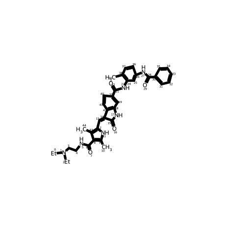 CCN(CC)CCNC(=O)c1c(C)[nH]c(C=C2C(=O)Nc3cc(C(=O)Nc4cc(NC(=O)c5ccccc5)ccc4C)ccc32)c1C